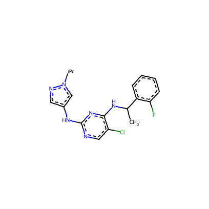 [CH2][C](Nc1nc(Nc2cnn(C(C)C)c2)ncc1Cl)c1ccccc1F